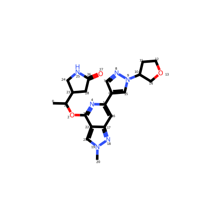 CC(Oc1nc(-c2cnn(C3CCOC3)c2)cc2nn(C)cc12)C1CNC(=O)C1